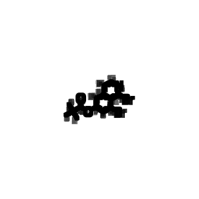 CC(C)(C)C(=O)Oc1cc(Br)c2c(Br)nccc2c1